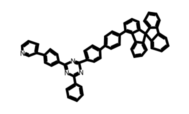 c1ccc(-c2nc(-c3ccc(-c4ccc(-c5cccc6c5-c5ccccc5C65c6ccccc6-c6ccccc65)cc4)cc3)nc(-c3ccc(-c4cccnc4)cc3)n2)cc1